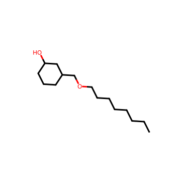 CCCCCCCCOCC1CCCC(O)C1